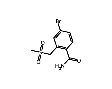 CS(=O)(=O)Cc1cc(Br)ccc1C(N)=O